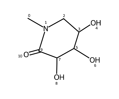 CN1CC(O)C(O)C(O)C1=O